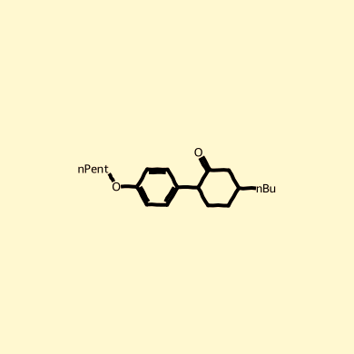 CCCCCOc1ccc(C2CCC(CCCC)CC2=O)cc1